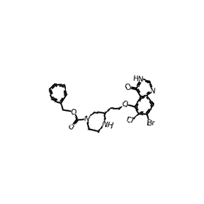 O=C(OCc1ccccc1)N1CCNC(CCOc2c(Cl)c(Br)cc3nc[nH]c(=O)c23)C1